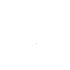 COC(=O)N1CCN(C(=O)[C@@H]2CN(c3cccnn3)C[C@H]2c2ccc(OC)cc2F)CCC1c1ccc(Cl)cc1